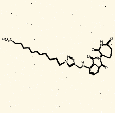 O=C(O)CCCCCCCCCCCn1cc(CNc2cccc3c2C(=O)N(C2CCC(=O)NC2=O)C3=O)nn1